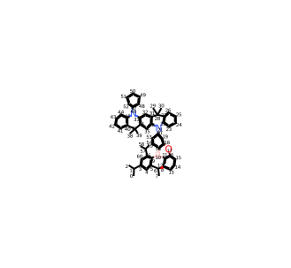 CC(C)c1cc(C(C)C)c(B2c3ccccc3Oc3cc(N4c5ccccc5C(C)(C)c5cc6c(cc54)C(C)(C)c4ccccc4N6c4ccccc4)ccc32)c(C(C)C)c1